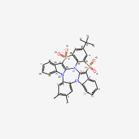 Cc1cc2c(cc1C)n1c3ccccc3c3c1n1c4c(c5ccccc5n24)S(=O)(=O)c2cc(C(C)(C)C)cc(c2-1)S3(=O)=O